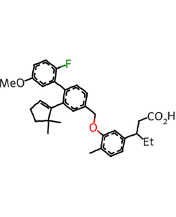 CCC(CC(=O)O)c1ccc(C)c(OCc2ccc(-c3cc(OC)ccc3F)c(C3=CCCC3(C)C)c2)c1